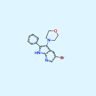 Brc1cnc2[nH]c(-c3ccccc3)c(N3CCOCC3)c2c1